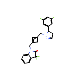 O=C1N(CC23CC(CN4N=CCC4c4cc(F)cc(F)c4)(C2)C3)c2ccccc2C1(F)F